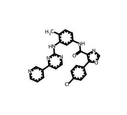 Cc1ccc(NC(=O)c2ncoc2-c2ccc(Cl)cc2)cc1Nc1nccc(-c2cccnc2)n1